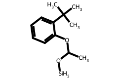 CC(O[SiH3])Oc1ccccc1C(C)(C)C